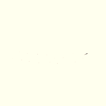 S[C@H]1C2C1C13C2C12C31C23C24C56C78CC7C85C62C134